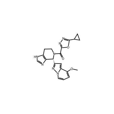 COc1cccn2nc([C@@H]3c4nc[nH]c4CCN3C(=O)c3nnc(C4CC4)o3)cc12